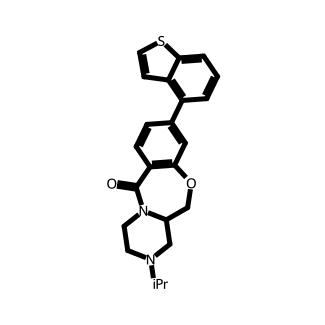 CC(C)N1CCN2C(=O)c3ccc(-c4cccc5sccc45)cc3OCC2C1